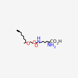 C#CCCCCCC(C)OCCOC(=O)NCCCC[C@H](N)C(=O)O